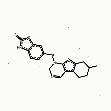 CC1CCc2c(sc3c2C=NCN3Nc2ccc3[nH]c(=O)sc3c2)C1